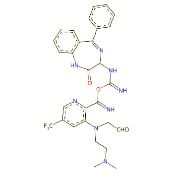 CN(C)CCN(CC=O)c1cc(C(F)(F)F)cnc1C(=N)OC(=N)NC1N=C(c2ccccc2)c2ccccc2NC1=O